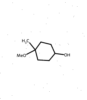 COC1(C)CCC(O)CC1